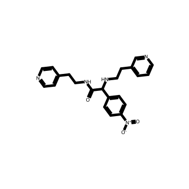 O=C(NCCc1ccncc1)C(NCCc1cccnc1)c1ccc([N+](=O)[O-])cc1